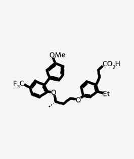 CCc1cc(OCC[C@H](C)Oc2ccc(C(F)(F)F)cc2-c2cccc(OC)c2)ccc1CCC(=O)O